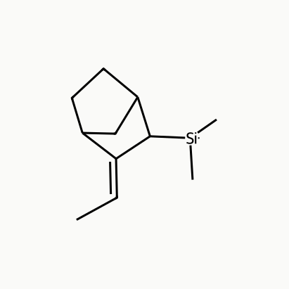 CC=C1C2CCC(C2)C1[Si](C)C